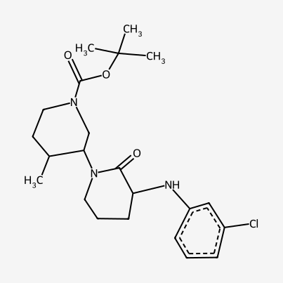 CC1CCN(C(=O)OC(C)(C)C)CC1N1CCCC(Nc2cccc(Cl)c2)C1=O